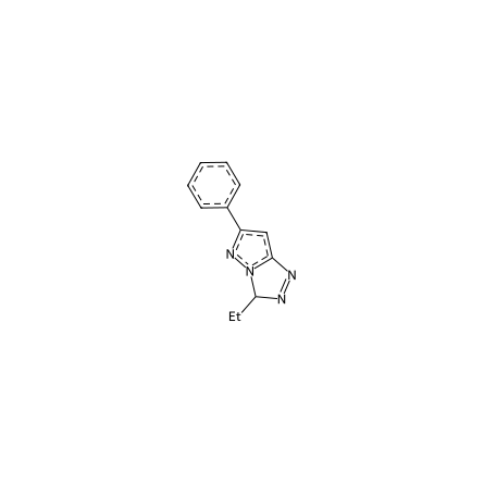 CCC1N=Nc2cc(-c3ccccc3)nn21